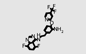 Nc1cc(CCNc2ncnc3c(F)ccc(F)c23)ccc1Oc1cc(C(F)(F)F)ccn1